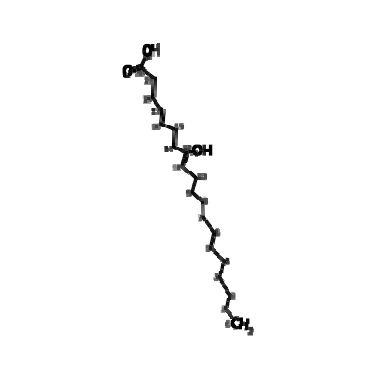 CCCCCCCCCCC/C=C(O)/C=C/C=C/C=C/C(=O)O